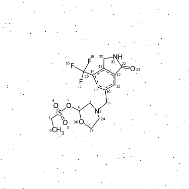 CCS(=O)(=O)OC1CN(Cc2cc3c(c(C(F)(F)F)c2)CNC3=O)CCO1